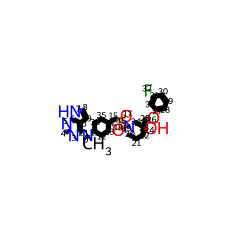 CN(c1ncnc2[nH]ccc12)C1CCC(CS(=O)(=O)N2CCCC(O)(COc3cccc(F)c3)C2)CC1